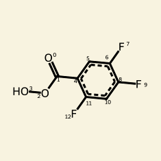 O=C(OO)c1cc(F)c(F)cc1F